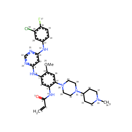 C=CC(=O)Nc1cc(Nc2cc(Nc3ccc(F)c(Cl)c3)ncn2)c(OC)cc1N1CCN(C2CCN(C)CC2)CC1